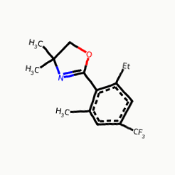 CCc1cc(C(F)(F)F)cc(C)c1C1=NC(C)(C)CO1